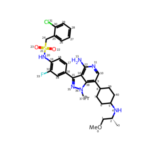 COC[C@@H](C)NC1CCC(c2cnc(N)c3c(-c4ccc(NS(=O)(=O)Cc5ccccc5Cl)c(F)c4)nn(C(C)C)c23)CC1